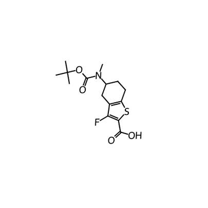 CN(C(=O)OC(C)(C)C)C1CCc2sc(C(=O)O)c(F)c2C1